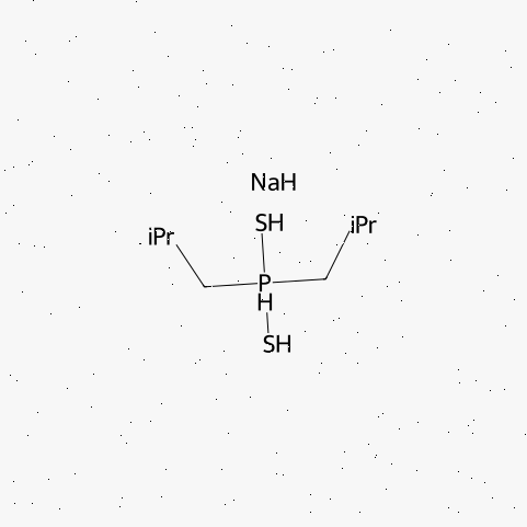 CC(C)C[PH](S)(S)CC(C)C.[NaH]